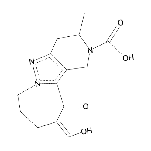 CC1Cc2nn3c(c2CN1C(=O)O)C(=O)/C(=C\O)CCC3